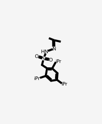 CC(C)=NNS(=O)(=O)Cc1c(C(C)C)cc(C(C)C)cc1C(C)C